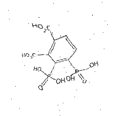 O=C(O)c1ccc(P(=O)(O)O)c(P(=O)(O)O)c1C(=O)O